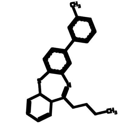 CCCCC1=Nc2cc(-c3cccc(C)c3)ccc2SC2C=CC=CC12